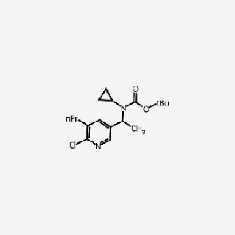 [CH2]CCc1cc(C(C)N(C(=O)OC(C)(C)C)C2CC2)cnc1Cl